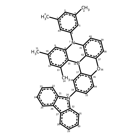 Cc1cc(C)cc(N2c3cc(C)cc(C)c3B3c4cc(-n5c6ccccc6c6ccccc65)ccc4Oc4cccc2c43)c1